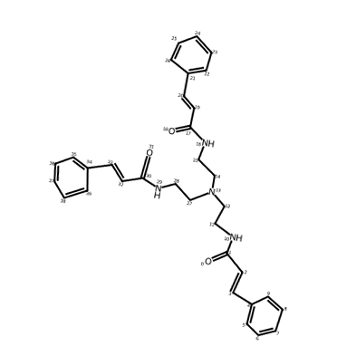 O=C(/C=C/c1ccccc1)NCCN(CCNC(=O)/C=C/c1ccccc1)CCNC(=O)/C=C/c1ccccc1